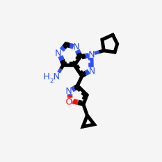 Nc1ncnc2c1c(-c1cc(C3CC3)on1)nn2C1CCCC1